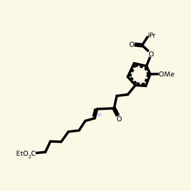 CCOC(=O)CCCCCC/C=C/C(=O)CCc1ccc(OC(=O)C(C)C)c(OC)c1